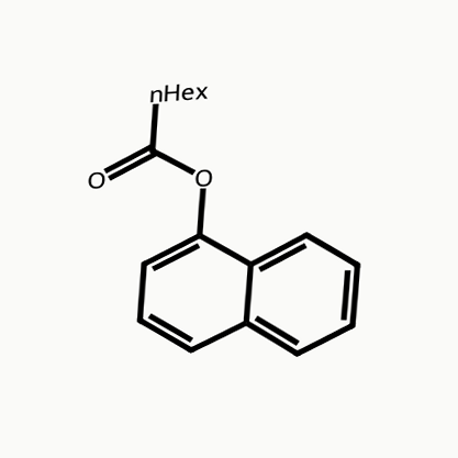 CCCCCCC(=O)Oc1cccc2ccccc12